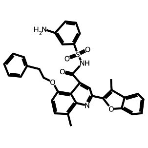 Cc1c(-c2cc(C(=O)NS(=O)(=O)c3cccc(N)c3)c3c(OCCc4ccccc4)ccc(C)c3n2)oc2ccccc12